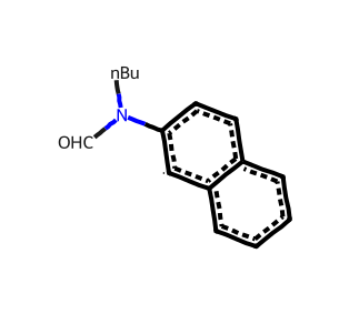 CCCCN(C=O)c1[c]c2ccccc2cc1